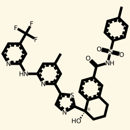 Cc1ccc(S(=O)(=O)NC(=O)c2ccc3c(c2)CCC[C@@]3(O)c2ncc(-c3cc(C)cc(Nc4cc(C(F)(F)F)ccn4)n3)s2)cc1